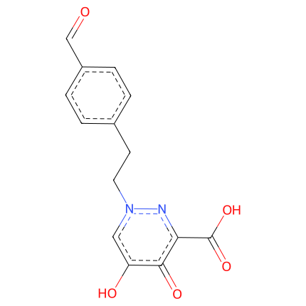 O=Cc1ccc(CCn2cc(O)c(=O)c(C(=O)O)n2)cc1